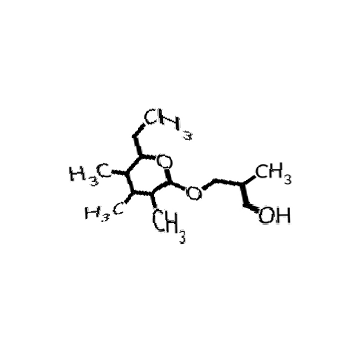 CCC1OC(OCC(C)CO)C(C)C(C)C1C